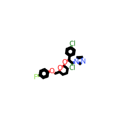 Fc1ccc(OCC2CCCC(OC(c3ccc(Cl)cc3)C(Cl)n3ccnc3)O2)cc1